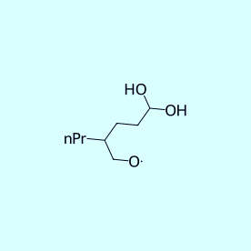 CCCC(C[O])CCC(O)O